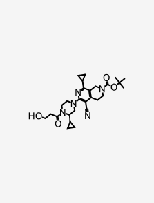 CC(C)(C)OC(=O)N1CCc2c(C#N)c(N3CCN(C(=O)CCO)[C@H](C4CC4)C3)nc(C3CC3)c2C1